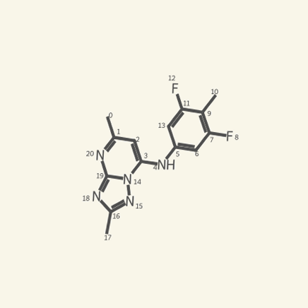 Cc1cc(Nc2cc(F)c(C)c(F)c2)n2nc(C)nc2n1